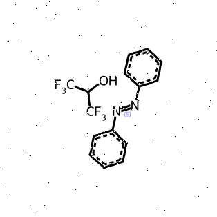 O[C](C(F)(F)F)C(F)(F)F.c1ccc(/N=N/c2ccccc2)cc1